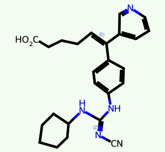 N#C/N=C(\Nc1ccc(/C(=C\CCCC(=O)O)c2cccnc2)cc1)NC1CCCCC1